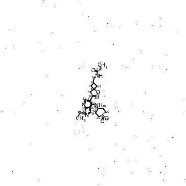 CCC(=O)NCC1CC2(CC(c3cnc4c(cnn4CC)c3NC3CCS(=O)(=O)CC3)=NO2)C1